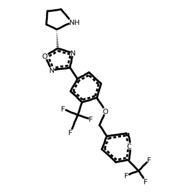 FC(F)(F)c1ccc(COc2ccc(-c3noc([C@@H]4CCCN4)n3)cc2C(F)(F)F)cc1